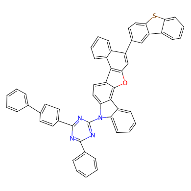 c1ccc(-c2ccc(-c3nc(-c4ccccc4)nc(-n4c5ccccc5c5c6oc7cc(-c8ccc9sc%10ccccc%10c9c8)c8ccccc8c7c6ccc54)n3)cc2)cc1